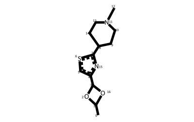 CC1OC(c2csc(C3CCN(C)CC3)n2)O1